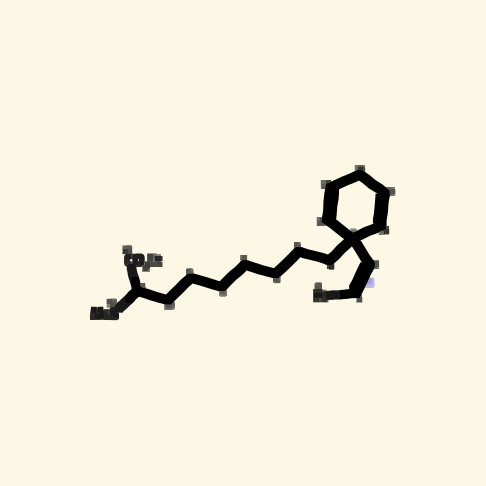 CC/C=C\C1(CCCCCCCC(SC)C(=O)OCC)C=CCC=C1